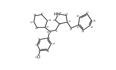 Clc1ccc(N(CC2CNCC2Cc2ccccc2)C2CCCCC2)cc1